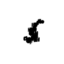 CCCN(C)CCNCCC(=O)Nc1cc(NC(/C=C(\C)c2cc(Cl)ccc2F)=C(/N=N)NC)ccn1